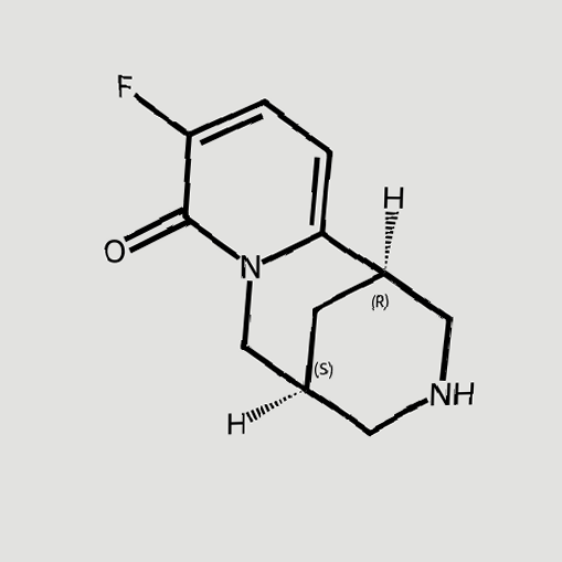 O=c1c(F)ccc2n1C[C@@H]1CNC[C@H]2C1